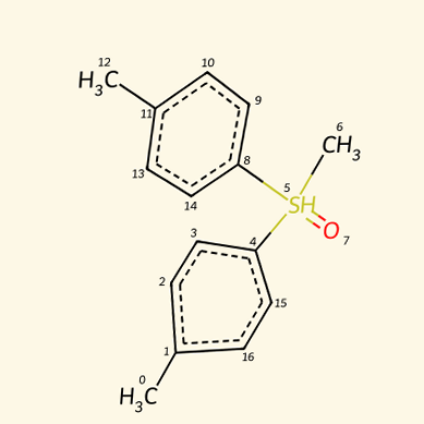 Cc1ccc([SH](C)(=O)c2ccc(C)cc2)cc1